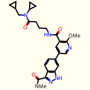 CNC(=O)c1n[nH]c2cc(-c3cnc(OC)c(C(=O)NCCCC(=O)N(CC4CC4)C4CC4)c3)ccc12